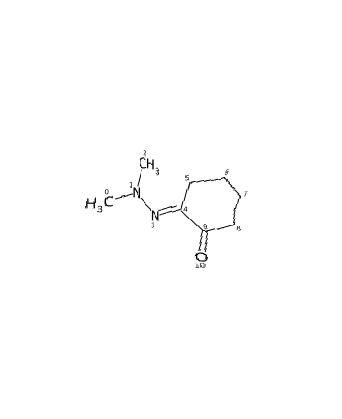 CN(C)N=C1CCCCC1=O